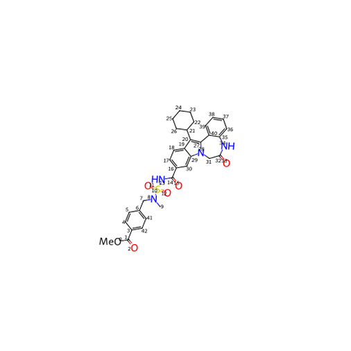 COC(=O)c1ccc(CN(C)S(=O)(=O)NC(=O)c2ccc3c(C4CCCCC4)c4n(c3c2)CC(=O)Nc2ccccc2-4)cc1